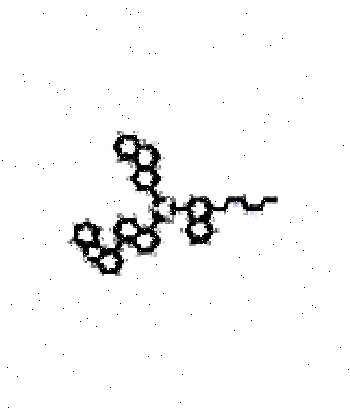 C=C/C=C\C=C/Cc1ccc(-c2nc(-c3ccc4c(ccc5ccccc54)c3)nc(-c3cccc4c(-c5cccc6oc7ccccc7c56)cccc34)n2)c2ccccc12